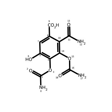 NC(=O)Oc1c(O)cc(C(=O)O)c(C(N)=O)c1OC(N)=O